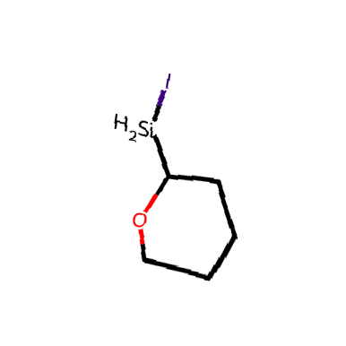 I[SiH2]C1CCCCO1